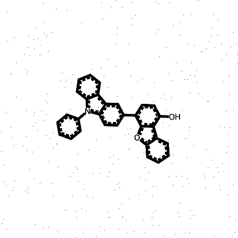 Oc1ccc(-c2ccc3c(c2)c2ccccc2n3-c2ccccc2)c2oc3ccccc3c12